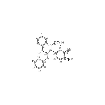 C[C@H](c1ccccc1)N(Cc1ccccc1)C(CC(=O)O)c1ccc(F)c(Br)c1